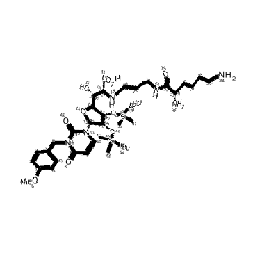 COc1ccc(Cn2c(=O)ccn([C@@H]3OC([C@H](O)[C@H](NCCCNC(=O)[C@@H](N)CCCCN)C(=O)O)[C@@H](O[Si](C)(C)C(C)(C)C)[C@H]3O[Si](C)(C)C(C)(C)C)c2=O)cc1